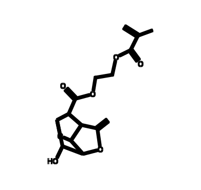 C=C(C)C(=O)OCCOC(=O)C1C2OC3C(OC(=C)C31)C2O